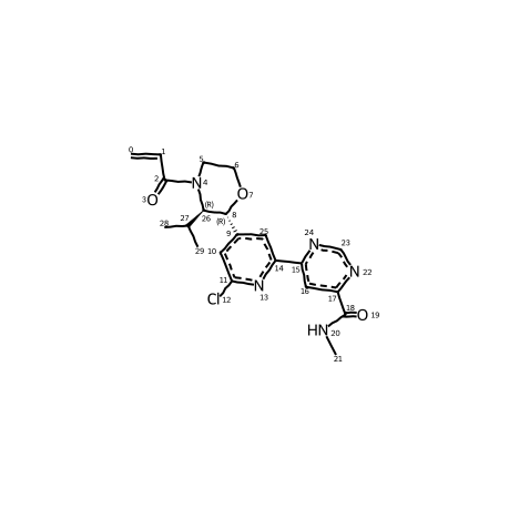 C=CC(=O)N1CCO[C@H](c2cc(Cl)nc(-c3cc(C(=O)NC)ncn3)c2)[C@H]1C(C)C